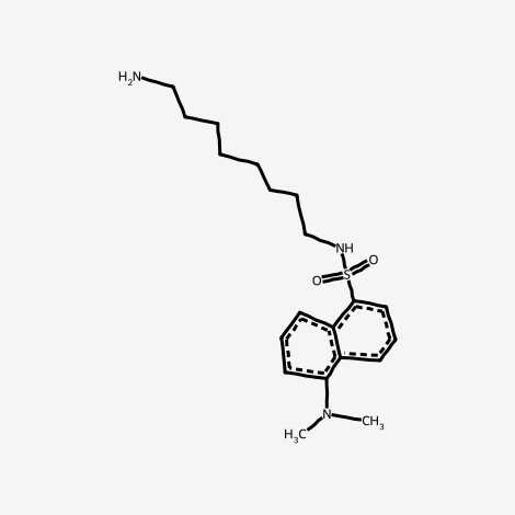 CN(C)c1cccc2c(S(=O)(=O)NCCCCCCCCN)cccc12